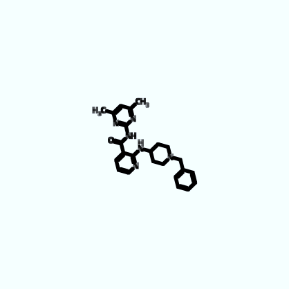 Cc1cc(C)nc(NC(=O)c2cccnc2NC2CCN(Cc3ccccc3)CC2)n1